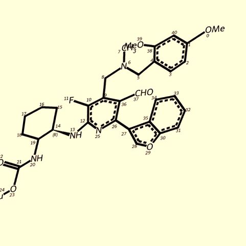 COc1ccc(CN(C)Cc2c(F)c(N[C@@H]3CCCCC3NC(=O)OC(C)(C)C)nc(-c3coc4ccccc34)c2C=O)c(OC)c1